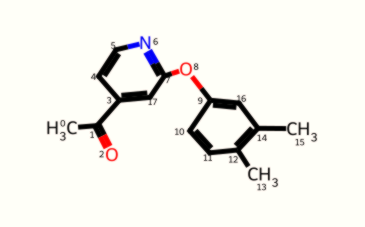 CC(=O)c1ccnc(Oc2ccc(C)c(C)c2)c1